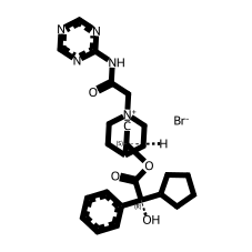 O=C(C[N+]12CCC(CC1)[C@H](OC(=O)[C@](O)(c1ccccc1)C1CCCC1)C2)Nc1ncncn1.[Br-]